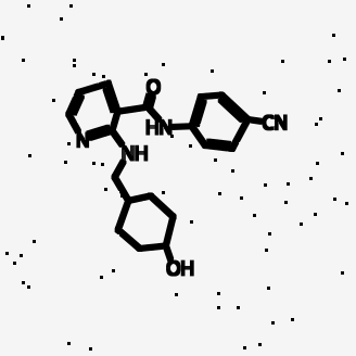 N#Cc1ccc(NC(=O)c2cccnc2NCC2CCC(O)CC2)cc1